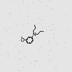 CCCN(CCC)c1cccc(OC)c1